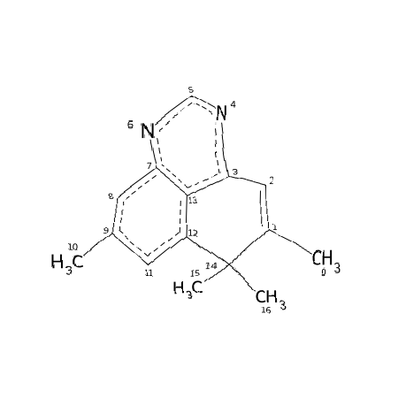 CC1=Cc2ncnc3cc(C)cc(c23)C1(C)C